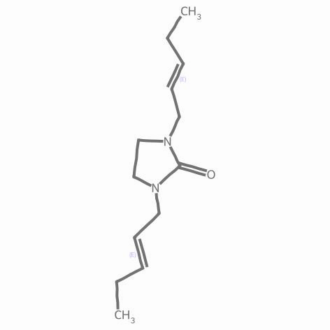 CC/C=C/CN1CCN(C/C=C/CC)C1=O